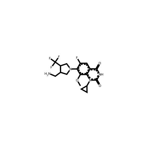 COc1c(N2CC(CN)C(C(F)(F)F)C2)c(F)cc2c(=O)[nH]c(=O)n(C3CC3)c12